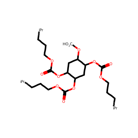 CC(C)CCCOC(=O)OC1CC(OC(=O)OCCCC(C)C)C(OC(=O)OCCCC(C)C)CC1OC(=O)O